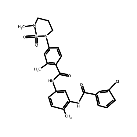 Cc1ccc(NC(=O)c2ccc(N3CCCN(C)S3(=O)=O)cc2C)cc1NC(=O)c1cccc(Cl)c1